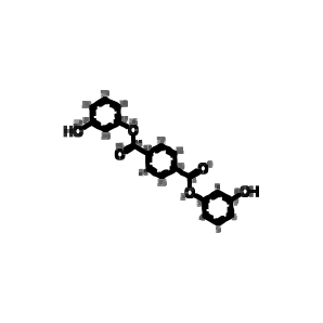 O=C(Oc1cccc(O)c1)c1ccc(C(=O)Oc2cccc(O)c2)cc1